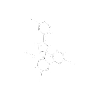 N#Cc1ccnc(C2=NC(c3ccc(F)cc3)(c3ccc(F)cc3)[C@H](CO)N2)c1